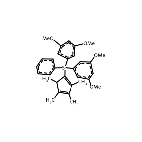 COc1cc(OC)cc([Si](C2=C(C)C(C)=C(C)C2C)(c2ccccc2)c2cc(OC)cc(OC)c2)c1